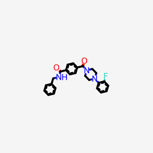 O=C(NCc1ccccc1)c1ccc(C(=O)N2CCN(c3ccccc3F)CC2)cc1